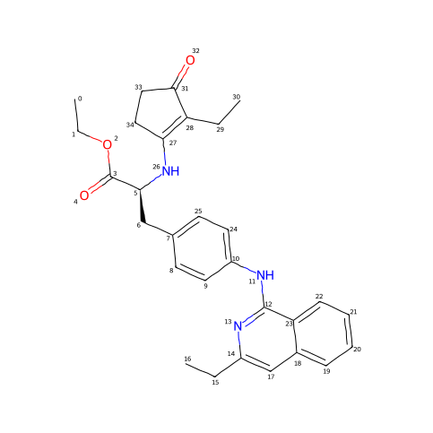 CCOC(=O)[C@H](Cc1ccc(Nc2nc(CC)cc3ccccc23)cc1)NC1=C(CC)C(=O)CC1